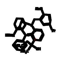 COc1ccc(C(C)C)cc1CN(OC(=O)CC(O)(CC(=O)O)C(=O)O)C1C2CCC(N=N)(CC2)C1C(c1ccccc1)c1ccccc1